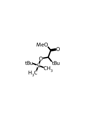 COC(=O)C(O[Si](C)(C)C(C)(C)C)C(C)(C)C